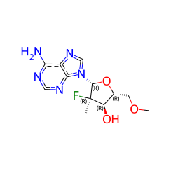 COC[C@H]1O[C@@H](n2cnc3c(N)ncnc32)[C@](C)(F)[C@@H]1O